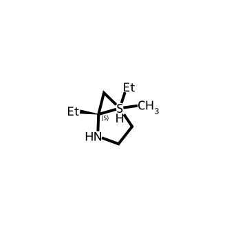 CC[C@@]12C[SH]1(C)(CC)CCN2